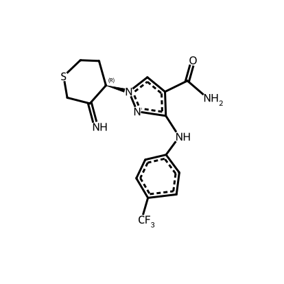 N=C1CSCC[C@H]1n1cc(C(N)=O)c(Nc2ccc(C(F)(F)F)cc2)n1